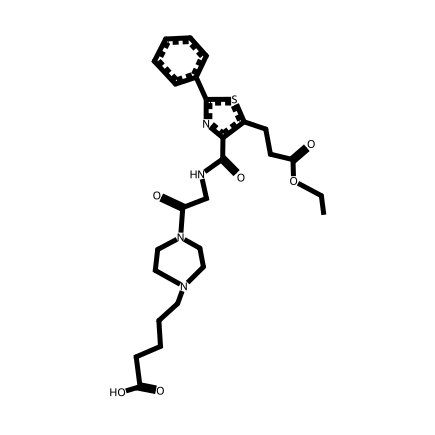 CCOC(=O)CCc1sc(-c2ccccc2)nc1C(=O)NCC(=O)N1CCN(CCCCC(=O)O)CC1